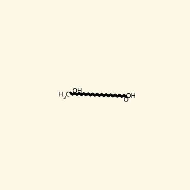 CCCC(O)CCCCCCCCCCCCCCCCCCCCCCC(=O)O